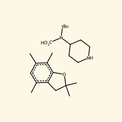 CC(C)(C)N(C(=O)O)C1CCNCC1.Cc1cc(C)c2c(c1C)OC(C)(C)C2